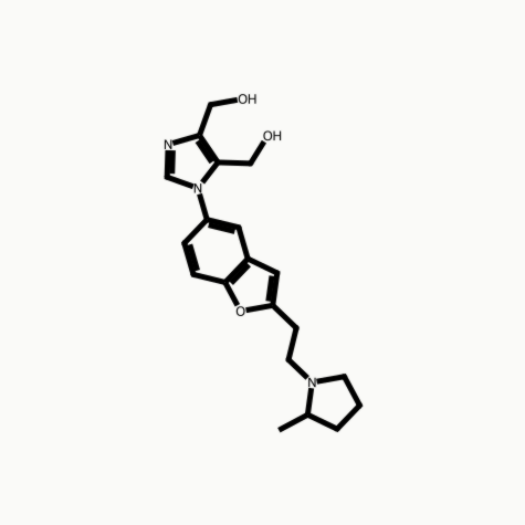 CC1CCCN1CCc1cc2cc(-n3cnc(CO)c3CO)ccc2o1